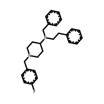 Fc1ccc(CN2CCC(N(CCc3ccccc3)Cc3ccccc3)CC2)cc1